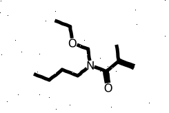 C=C(C)C(=O)N(CCCC)COCC